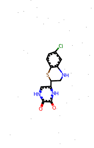 O=c1[nH]cc(C2CNc3cc(Cl)ccc3S2)[nH]c1=O